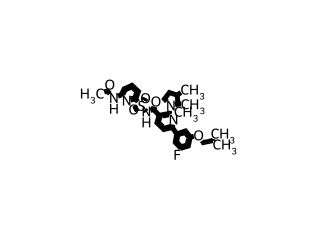 CC(=O)Nc1cccc(S(=O)(=O)NC(=O)c2ccc(-c3cc(F)cc(OCC(C)C)c3)nc2N2CCC(C)C2(C)C)n1